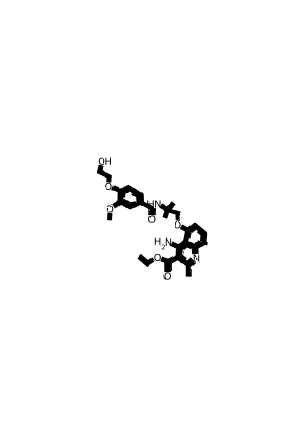 CCOC(=O)c1c(C)nc2cccc(OCC(C)(C)NC(=O)c3ccc(OCCO)c(OC)c3)c2c1N